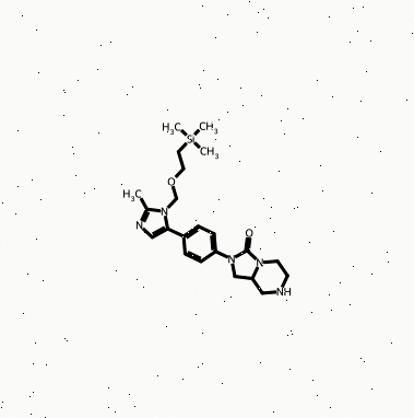 Cc1ncc(-c2ccc(N3CC4CNCCN4C3=O)cc2)n1COCC[Si](C)(C)C